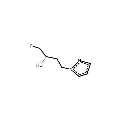 O[C@H](CF)CCn1cccn1